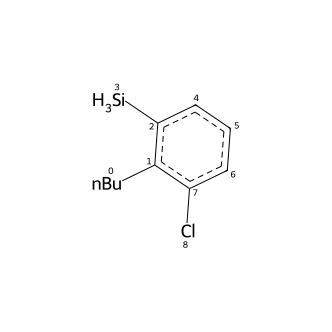 CCCCc1c([SiH3])cccc1Cl